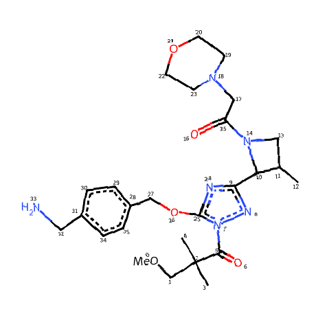 COCC(C)(C)C(=O)n1nc(C2C(C)CN2C(=O)CN2CCOCC2)nc1OCc1ccc(CN)cc1